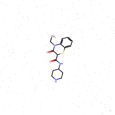 CCN1C(=O)C(C(=O)NC2CCNCC2)Sc2ccccc21